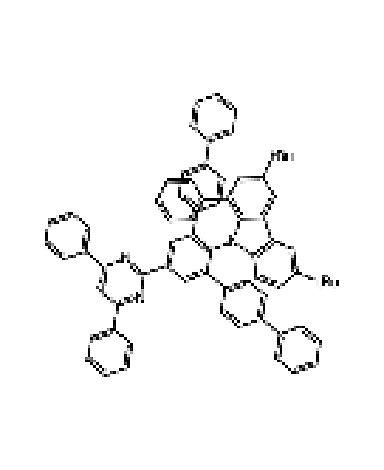 CC(C)(C)c1ccc2c(c1)c1cc(C(C)(C)C)cc(-c3ccccc3)c1n2-c1c(-c2ccc(-c3ccccc3)cc2)cc(-c2nc(-c3ccccc3)nc(-c3ccccc3)n2)cc1-c1ccc(-c2ccccc2)cc1